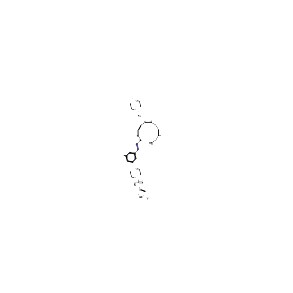 C/C(=C\c1cc(F)cc(N2CCN(S(=O)(=O)c3cn(C)cn3)CC2)c1)C1OC(=O)CC(O)CCC(C)C(OC(=O)N2CCNCC2)C=CC1C